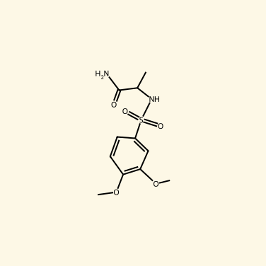 COc1ccc(S(=O)(=O)NC(C)C(N)=O)cc1OC